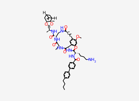 CCCCc1ccc(-c2ccc(C(=O)N[C@@H](CCCCN)C(=O)N[C@@H]3C(=O)N[C@@H](C)C(=O)N[C@H](C(=O)N[C@@H](C)B4OC5C[C@@H]6C[C@@H](C6(C)C)[C@]5(C)O4)CNC(=O)CCc4cc3ccc4OC)cc2)cc1